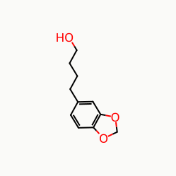 OCCCCc1ccc2c(c1)OCO2